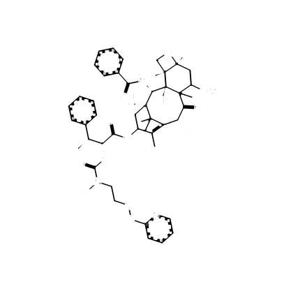 CCCCN(CCSSc1ccccn1)C(=O)O[C@@H](C(=O)OC1C[C@@]2(O)[C@@H](OC(=O)c3ccccc3)[C@H]3C(C)(C(=O)[C@H](C)C(=C1C)C2(C)C)C(OC)C[C@H]1OC[C@]13OC(C)=O)[C@@H](C)c1ccccc1